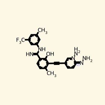 Cc1cc(NC(=N)c2ccc(C)c(C#Cc3cc/c(=N/N)n(N)c3)c2O)cc(C(F)(F)F)c1